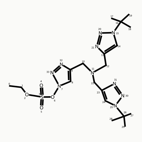 CCOS(=O)(=O)On1cc(CN(Cc2cn(C(C)(C)C)nn2)Cc2cn(C(C)(C)C)nn2)nn1